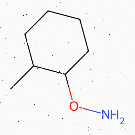 CC1CCCCC1ON